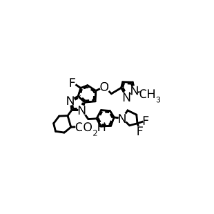 Cn1ccc(COc2cc(F)c3nc(C4CCCCC4C(=O)O)n(Cc4ccc(N5CCC(F)(F)C5)cc4)c3c2)n1